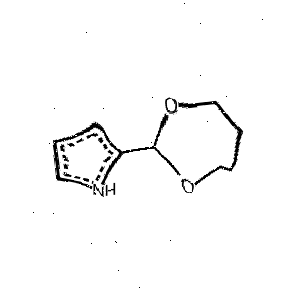 c1c[nH]c(C2OCCCO2)c1